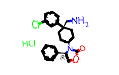 Cl.NC[C@]1(c2cccc(Cl)c2)CC[C@@H](N2C(=O)OC[C@H]2c2ccccc2)CC1